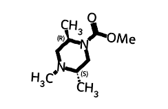 COC(=O)N1C[C@H](C)N(C)C[C@H]1C